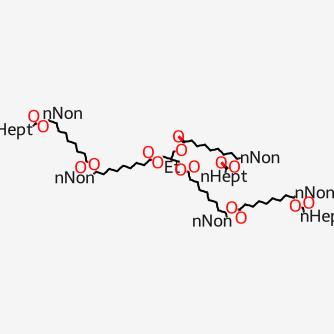 CCCCCCCCCC(CCCCCCCC(=O)OCC(CC)(COC(=O)CCCCCCCC(CCCCCCCCC)OC(=O)CCCCCCCC(CCCCCCCCC)OC(=O)CCCCCCC)COC(=O)CCCCCCCC(CCCCCCCCC)OC(=O)CCCCCCCC(CCCCCCCCC)OC(=O)CCCCCCC)OC(=O)CCCCCCC